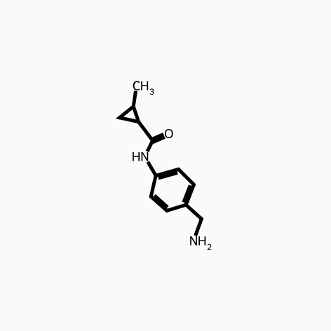 CC1CC1C(=O)Nc1ccc(CN)cc1